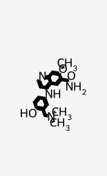 COc1cc2nccc(Nc3ccc(O)c(CN(C)C)c3)c2cc1C(N)=O